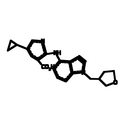 O=C(O)c1cc(C2CC2)cnc1Nc1cccc2c1c#cn2CC1CCOC1